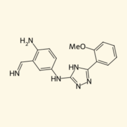 COc1ccccc1-c1nnc(Nc2ccc(N)c(C=N)c2)[nH]1